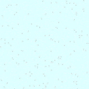 CCC(=C(C)C(=O)O)c1ccc(C(=O)c2cccnc2)cc1